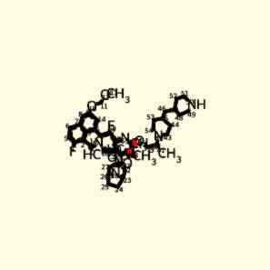 C#Cc1c(F)ccc2cc(OCOC)cc(-c3ncc4c(N5CC6CCC(C5)N6C(=O)OC(C)(C)C)nc(OC[C@H](C)N5CCC(CC6CCNCC6)CC5)nc4c3F)c12